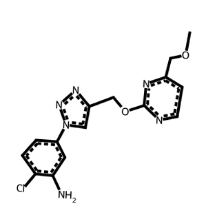 COCc1ccnc(OCc2cn(-c3ccc(Cl)c(N)c3)nn2)n1